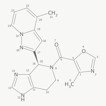 Cc1ncoc1C(=O)N1CCc2[nH]cnc2[C@H]1c1cc2c(C)cccn2n1